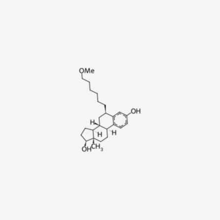 COCCCCCC[C@@H]1C[C@@H]2[C@H](CC[C@]3(C)[C@@H](O)CC[C@@H]23)c2ccc(O)cc21